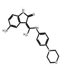 C/C(Nc1ccc(N2CCOCC2)cc1)=C1/C(=O)Nc2ccc(N)cc21